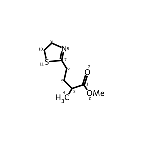 COC(=O)C(C)CCC1=NCCS1